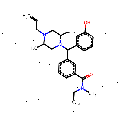 C=CCN1CC(C)N(C(c2cccc(O)c2)c2cccc(C(=O)N(C)CC)c2)CC1C